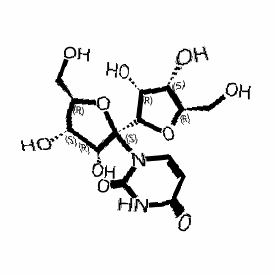 O=c1ccn([C@]2(C3O[C@H](CO)[C@@H](O)[C@H]3O)O[C@H](CO)[C@@H](O)[C@H]2O)c(=O)[nH]1